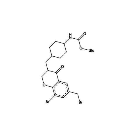 CC(C)(C)OC(=O)NC1CCC(CC2COc3c(Br)cc(CBr)cc3C2=O)CC1